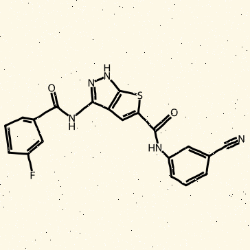 N#Cc1cccc(NC(=O)c2cc3c(NC(=O)c4cccc(F)c4)n[nH]c3s2)c1